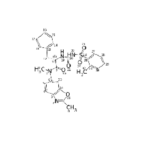 Cc1nc2ccc(N(C)C(=O)[C@H](Cc3ccccc3)NC(=O)NS(=O)(=O)c3ccccc3C)cc2o1